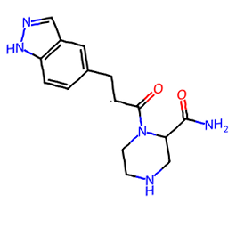 NC(=O)C1CNCCN1C(=O)[CH]Cc1ccc2[nH]ncc2c1